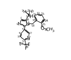 [2H]C([2H])([2H])c1cnc(-c2ccc(C(F)(F)F)nc2)n1Cc1ccccc1OC